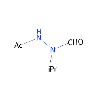 CC(=O)NN(C=O)C(C)C